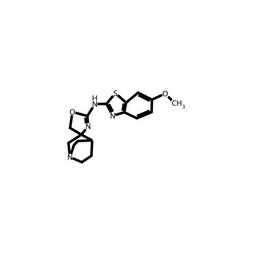 COc1ccc2nc(NC3=NC4(CO3)CN3CCC4CC3)sc2c1